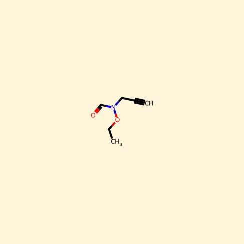 C#CCN(C=O)OCC